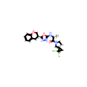 CC[C@@H](Nc1nnc([C@@H]2COc3ccccc3C2)o1)C(=O)N1CC[C@]2(C1)CC2(F)F